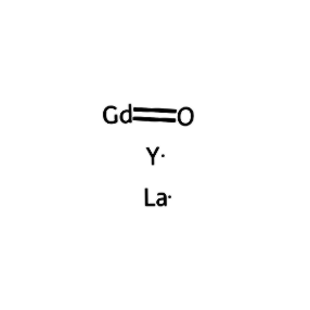 [La].[O]=[Gd].[Y]